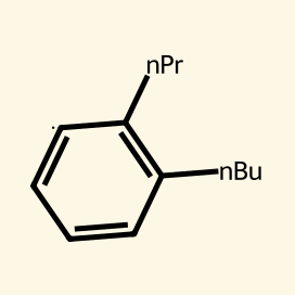 CCCCc1ccc[c]c1CCC